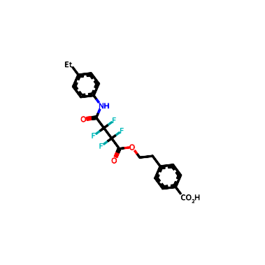 CCc1ccc(NC(=O)C(F)(F)C(F)(F)C(=O)OCCc2ccc(C(=O)O)cc2)cc1